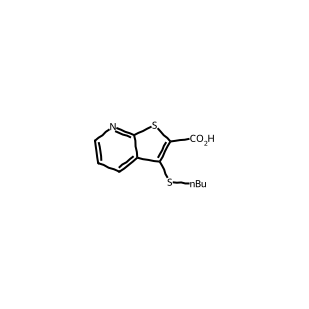 CCCCSc1c(C(=O)O)sc2ncccc12